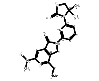 CNCc1nc(N(C)C(C)C)cc2c1CN(c1cccc(N3C(=O)OCC3(C)C)n1)C2=O